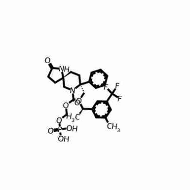 Cc1cc([C@@H](C)OC[C@@]2(c3ccccc3)CC[C@]3(CCC(=O)N3)CN2C(=O)OCOP(=O)(O)O)cc(C(F)(F)F)c1